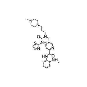 CN1CCN(CCCN(Cc2ccc(C(=O)Nc3ccccc3N)nc2)C(=O)Nc2nccs2)CC1